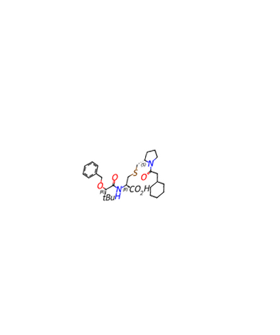 CC(C)(C)[C@@H](OCc1ccccc1)C(=O)N[C@@H](CSC[C@@H]1CCCN1C(=O)CC1CCCCC1)C(=O)O